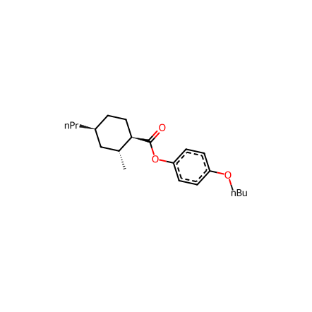 CCCCOc1ccc(OC(=O)[C@@H]2CC[C@H](CCC)C[C@H]2C)cc1